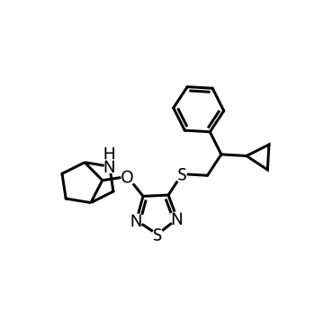 c1ccc(C(CSc2nsnc2OC2C3CCC2NC3)C2CC2)cc1